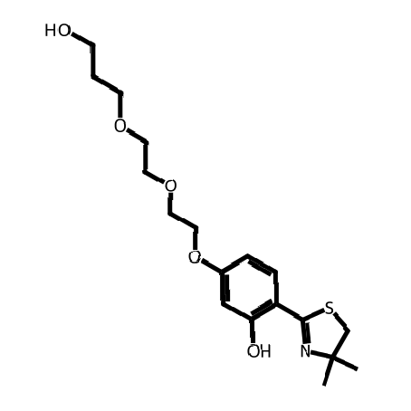 CC1(C)CSC(c2ccc(OCCOCCOCCCO)cc2O)=N1